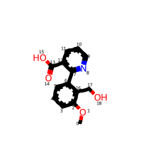 COc1cccc(-c2ncccc2C(=O)O)c1CO